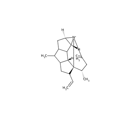 C=CC1CC2C(C)C3C[C@@H]4[C@H]5C3[C@@H]2[C@]12[C@@H](C)CC(=C)[N+]452